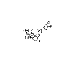 CC1NN=C(Nc2ccc(F)c(C[C@@]3(C(=O)O)CCN(Cc4ccc(F)c(Cl)c4)[C@H](C)C3)n2)C1C